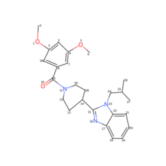 COc1cc(OC)cc(C(=O)N2CCC(c3nc4ccccc4n3CC(C)C)CC2)c1